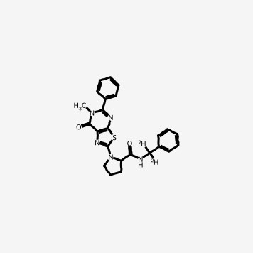 [2H]C([2H])(NC(=O)C1CCCN1c1nc2c(=O)n(C)c(-c3ccccc3)nc2s1)c1ccccc1